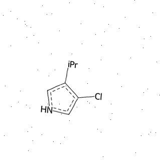 CC(C)c1c[nH]cc1Cl